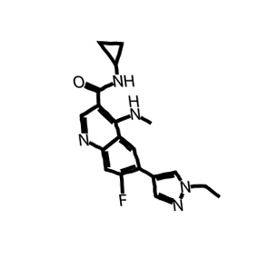 CCn1cc(-c2cc3c(NC)c(C(=O)NC4CC4)cnc3cc2F)cn1